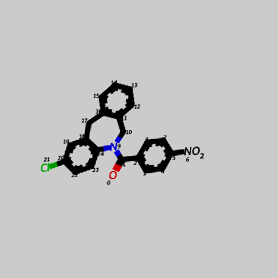 O=C(c1ccc([N+](=O)[O-])cc1)N1Cc2ccccc2Cc2cc(Cl)ccc21